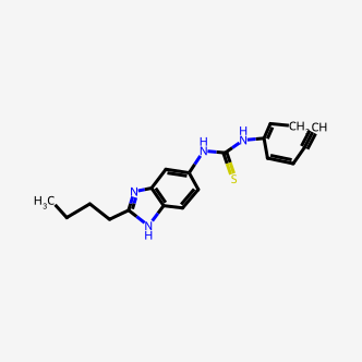 C#C/C=C\C(=C/C)NC(=S)Nc1ccc2[nH]c(CCCC)nc2c1